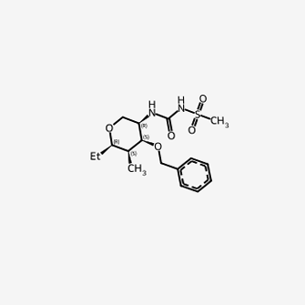 CC[C@H]1OC[C@@H](NC(=O)NS(C)(=O)=O)[C@@H](OCc2ccccc2)[C@H]1C